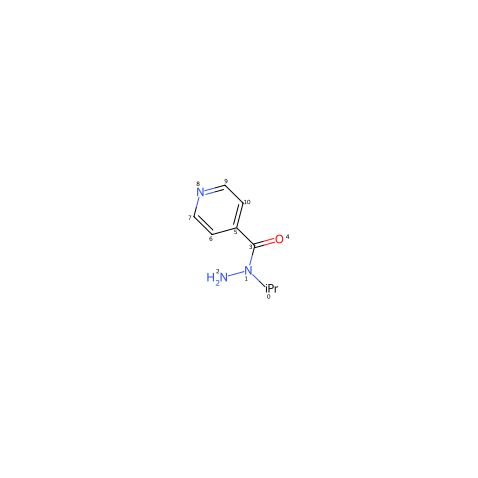 CC(C)N(N)C(=O)c1ccncc1